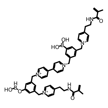 C=C(C)C(=O)NCCc1cc[n+](Cc2cc(C[n+]3ccc(-c4cc[n+](Cc5cc(C[n+]6ccc(CCNC(=O)C(=C)C)cc6)cc(B(O)O)c5)cc4)cc3)cc(OBO)c2)cc1